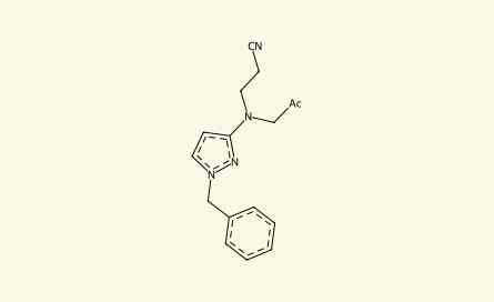 CC(=O)CN(CCC#N)c1ccn(Cc2ccccc2)n1